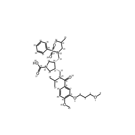 COCCCOc1cc(C(=O)N(C[C@@H]2CN(C(=O)O)C[C@@H]2CN(CC(C)C)S(=O)(=O)c2ccccc2)C(C)C)ccc1OC